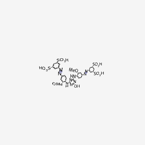 COc1cc(/N=N/c2cc(S(=O)(=O)O)cc(S(=O)(=O)O)c2)ccc1Nc1nc(O)nc(Nc2ccc(/N=N/c3cc(S(=O)(=O)O)cc(S(=O)(=O)O)c3)cc2OC)n1